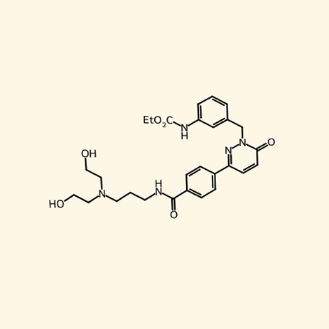 CCOC(=O)Nc1cccc(Cn2nc(-c3ccc(C(=O)NCCCN(CCO)CCO)cc3)ccc2=O)c1